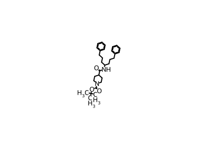 CC(C)(C)OC(=O)N1CCC(C(=O)NC(CCCc2ccccc2)CCCc2ccccc2)CC1